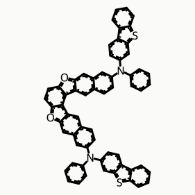 c1ccc(N(c2ccc3cc4c(cc3c2)oc2ccc3oc5cc6cc(N(c7ccccc7)c7ccc8c(c7)sc7ccccc78)ccc6cc5c3c24)c2ccc3c(c2)sc2ccccc23)cc1